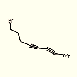 CCCC#CC#CCCCBr